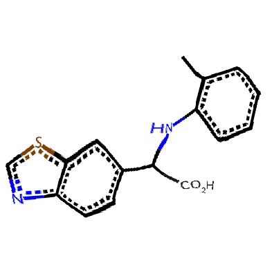 Cc1ccccc1NC(C(=O)O)c1ccc2ncsc2c1